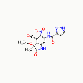 CCOC1(C)C(=O)NC2=CC(NC(=O)c3ccncn3)=C([N+](=O)[O-])C(=C=O)C21